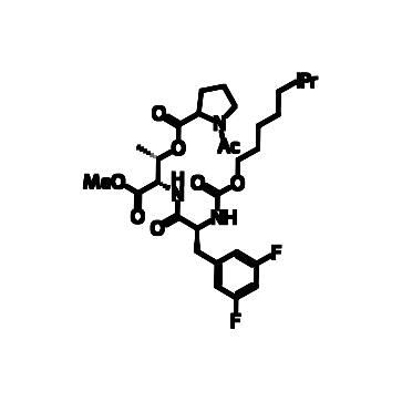 COC(=O)[C@@H](NC(=O)[C@H](Cc1cc(F)cc(F)c1)NC(=O)OCCCCCC(C)C)[C@H](C)OC(=O)C1CCCN1C(C)=O